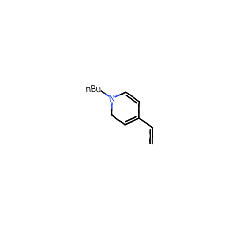 C=CC1=CCN(CCCC)C=C1